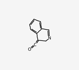 O=C=C1CN=Cc2ccccc21